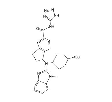 Cn1c(N(C2CCC(C(C)(C)C)CC2)C2CCc3cc(C(=O)Nc4nnn[nH]4)ccc32)nc2ccccc21